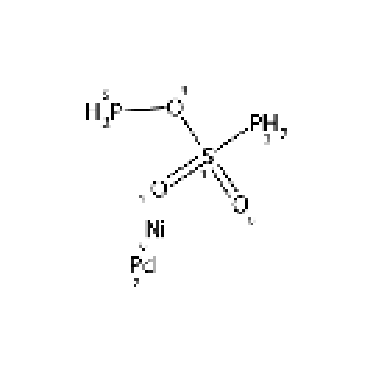 O=S(=O)(P)OP.[Ni].[Pd]